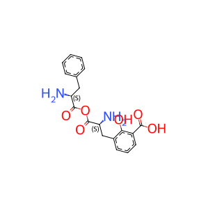 N[C@@H](Cc1ccccc1)C(=O)OC(=O)[C@@H](N)Cc1cccc(C(=O)O)c1O